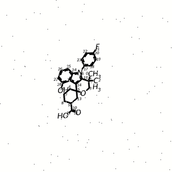 CC1(C)COC2(CCCC(C(=O)O)C2)c2c1n(-c1ccc(F)cc1)c1cccc(O)c21